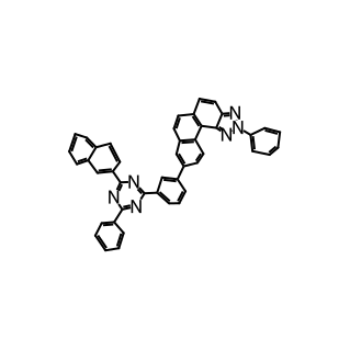 c1ccc(-c2nc(-c3cccc(-c4ccc5c(ccc6ccc7nn(-c8ccccc8)nc7c65)c4)c3)nc(-c3ccc4ccccc4c3)n2)cc1